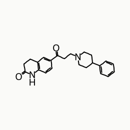 O=C1CCc2cc(C(=O)CCN3CCC(c4ccccc4)CC3)ccc2N1